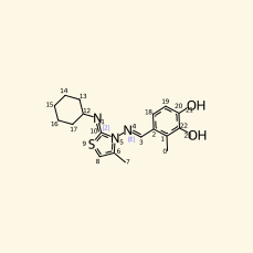 Cc1c(/C=N/n2c(C)cs/c2=N\C2CCCCC2)ccc(O)c1O